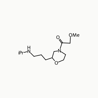 COCC(=O)N1CCOC(CCCNC(C)C)C1